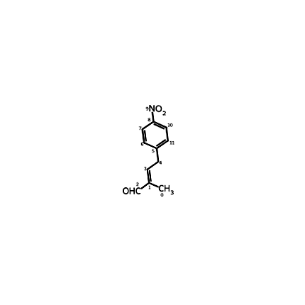 C/C(C=O)=C\Cc1ccc([N+](=O)[O-])cc1